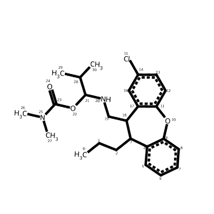 CCCC1c2ccccc2Oc2ccc(Cl)cc2C1CNC(OC(=O)N(C)C)C(C)C